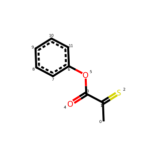 CC(=S)C(=O)Oc1ccccc1